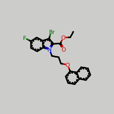 CCOC(=O)c1c(Br)c2cc(F)ccc2n1CCCOc1cccc2ccccc12